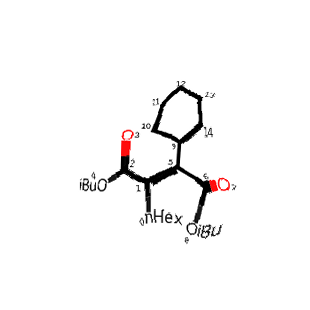 CCCCCCC(C(=O)OCC(C)C)=C(C(=O)OCC(C)C)C1CCCCC1